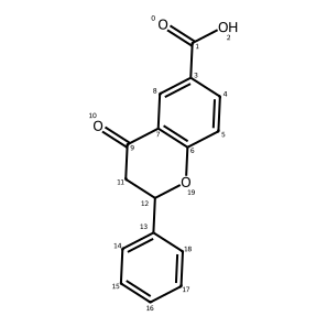 O=C(O)c1ccc2c(c1)C(=O)CC(c1ccccc1)O2